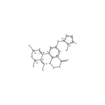 C=C1CCCc2c1cc(Cn1ccnc1C)cc2/C(=C/N(C)C)C(=CC)N(C)C